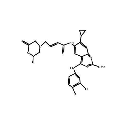 COc1nc(Nc2ccc(F)c(Cl)c2)c2cc(NC(=O)C=CCN3CC(=O)O[C@H](C)C3)c(C3CC3)cc2n1